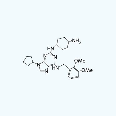 COc1cccc(CNc2nc(N[C@H]3CC[C@H](N)CC3)nc3c2ncn3C2CCCC2)c1OC